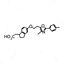 Cc1ccc(-c2nc(C)c(CCOc3ccc4c(c3)CCC4CC(=O)O)o2)cc1